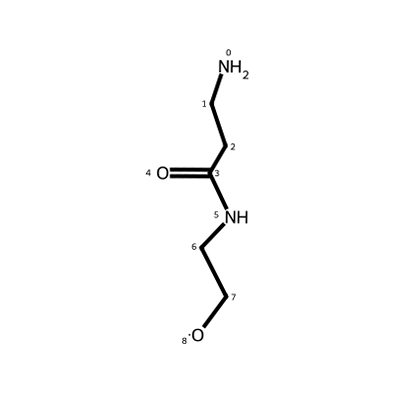 NCCC(=O)NCC[O]